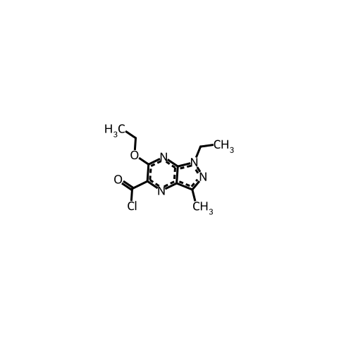 CCOc1nc2c(nc1C(=O)Cl)c(C)nn2CC